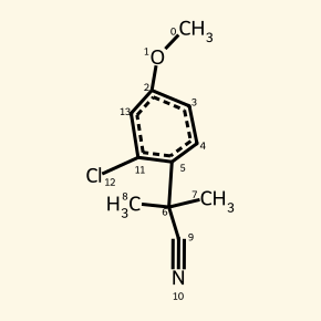 COc1ccc(C(C)(C)C#N)c(Cl)c1